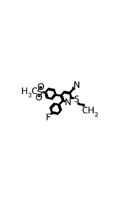 C=CCSc1nc(-c2ccc(F)cc2)c(-c2ccc(S(C)(=O)=O)cc2)cc1C#N